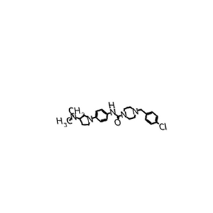 CN(C)C1CCN(c2ccc(NC(=O)N3CCN(Cc4ccc(Cl)cc4)CC3)cc2)C1